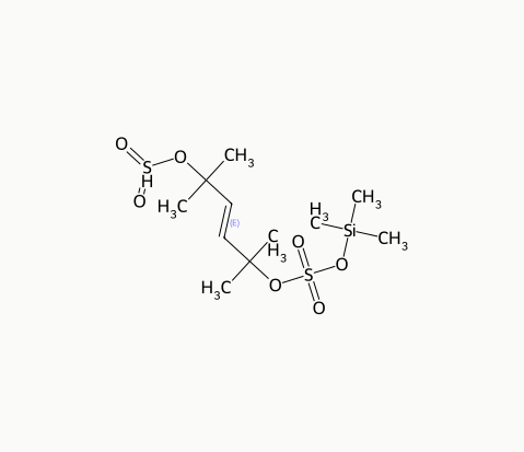 CC(C)(/C=C/C(C)(C)OS(=O)(=O)O[Si](C)(C)C)O[SH](=O)=O